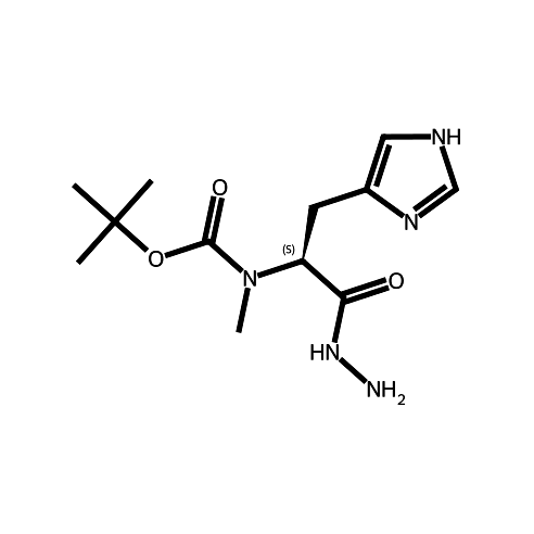 CN(C(=O)OC(C)(C)C)[C@@H](Cc1c[nH]cn1)C(=O)NN